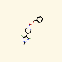 Cc1nc(Cl)c(C2CCN(C(=O)OCc3ccccc3)CC2)c(Cl)n1